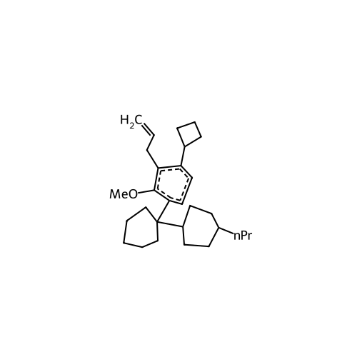 C=CCc1c(C2CCC2)ccc(C2(C3CCC(CCC)CC3)CCCCC2)c1OC